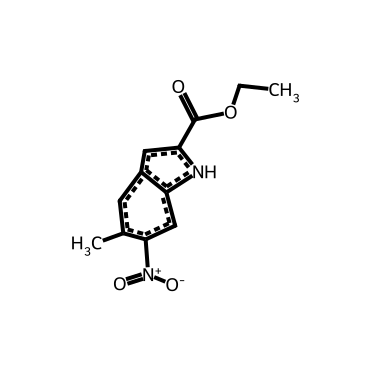 CCOC(=O)c1cc2cc(C)c([N+](=O)[O-])cc2[nH]1